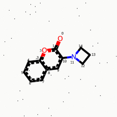 O=c1oc2ccccc2cc1N1CCC1